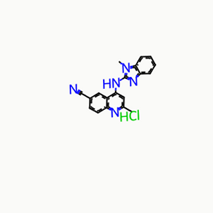 Cc1cc(Nc2nc3ccccc3n2C)c2cc(C#N)ccc2n1.Cl